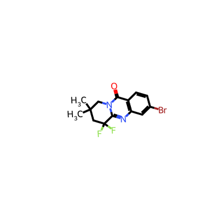 CC1(C)Cn2c(nc3cc(Br)ccc3c2=O)C(F)(F)C1